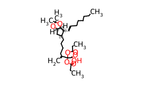 C=C(CCCC[C@H]1C[C@H]2OC(C)(C)O[C@H]2[C@@H]1C=CCCCCCC)C(OC(=O)CC)(OC(=O)CC)C(=O)O